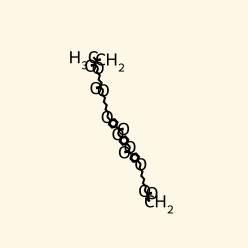 C=CC(=O)OCCCCCCOc1ccc(C(=O)Oc2ccc(OC(=O)c3ccc(OCCCCCCOC(=O)CCCCOC(=O)C(=C)C)cc3)cc2)cc1